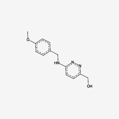 COc1ccc(CNc2ccc(CO)nn2)cc1